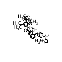 COc1c(NC(=O)c2cc3cccc(CN4CCN(C(=O)[C@@H]5CCCN5C)CC4)c3n2C)cc(C(C)C)cc1NS(C)(=O)=O